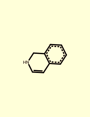 [c]1cccc2c1CNC=C2